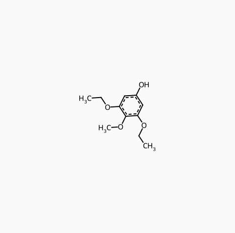 CCOc1cc(O)cc(OCC)c1OC